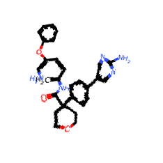 C=C(/C=C\C(=C/N)Oc1ccccc1)NC(=O)C1(c2ccc(-c3cnc(N)nc3)cc2)CCOCC1